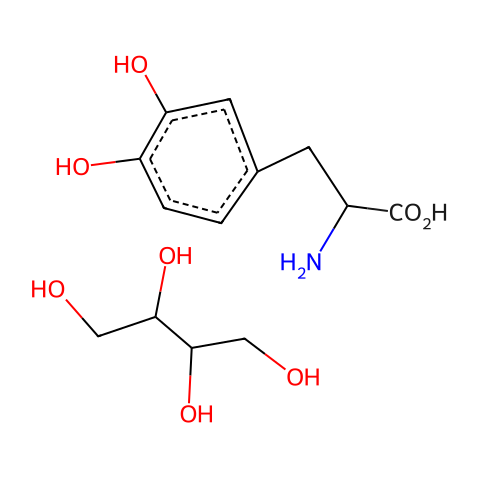 NC(Cc1ccc(O)c(O)c1)C(=O)O.OCC(O)C(O)CO